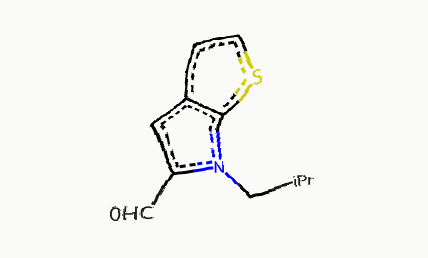 CC(C)Cn1c(C=O)cc2ccsc21